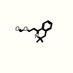 CC1(C)Cc2ccccc2C(CCOC=O)=N1